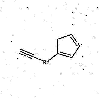 C#[C][Re][C]1=CC=CC1